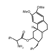 COc1cc2c(cc1OC)[C@H]1CC(OC(=O)C(N)C(C)C)[C@H](CC(C)C)CN1CC2